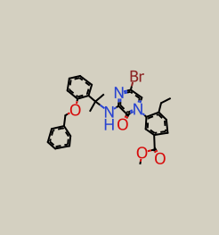 CCc1ccc(C(=O)OC)cc1-n1cc(Br)nc(NC(C)(C)c2ccccc2OCc2ccccc2)c1=O